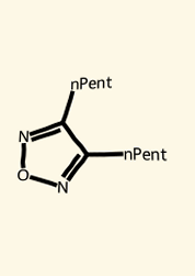 CCCCCc1nonc1CCCCC